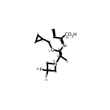 C=C/C(=N\C(OCC1CC1)=C(/C)N1CC(F)(F)C1)C(=O)O